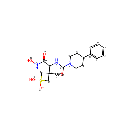 COC1(C(NC(=O)N2CCC(c3ccccc3)CC2)C(=O)NO)CS(O)(O)C1